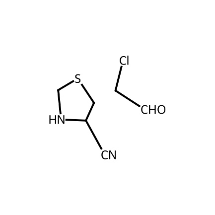 N#CC1CSCN1.O=CCCl